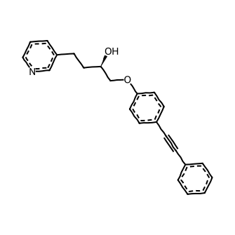 O[C@H](CCc1cccnc1)COc1ccc(C#Cc2ccccc2)cc1